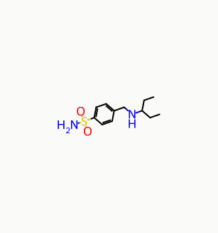 CCC(CC)NCc1ccc(S(N)(=O)=O)cc1